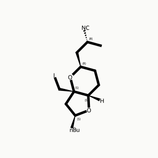 [C-]#[N+][C@H](C)C[C@H]1CC[C@@H]2O[C@@H](CCCC)C[C@]2(CI)O1